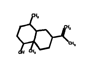 C=C(C)C1CCC2(C)C(O)CCC(C)C2C1